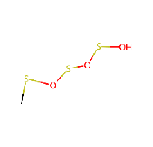 CSOSOSO